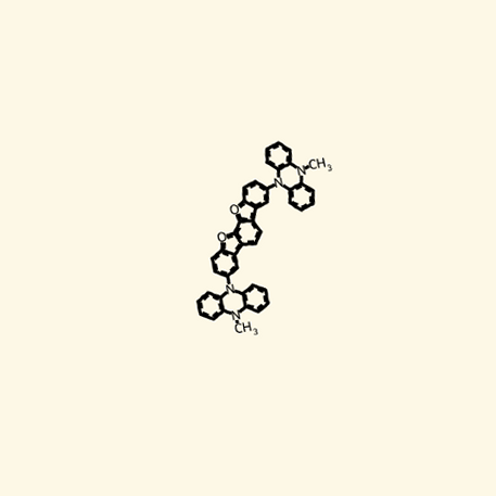 CN1c2ccccc2N(c2ccc3oc4c(ccc5c6cc(N7c8ccccc8N(C)c8ccccc87)ccc6oc54)c3c2)c2ccccc21